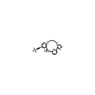 C[C@H]1CCCOc2ncc(C#C[Si](C)(C)C)cc2C(=O)Nc2cccc(n2)-c2nncn21